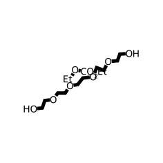 CCOC(=O)OCC.OCCOCCOCCOCCOCCO